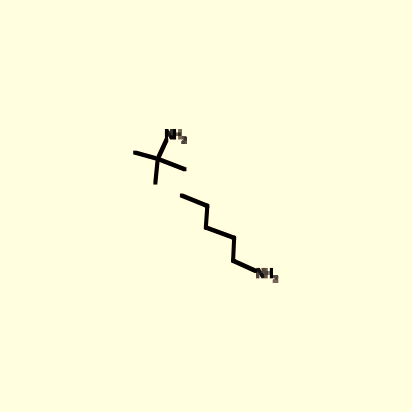 CC(C)(C)N.CCCCCN